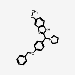 COc1ccc2[nH]c(C(c3ccc(OCc4ccccc4)cc3)N3CCCC3)nc2c1